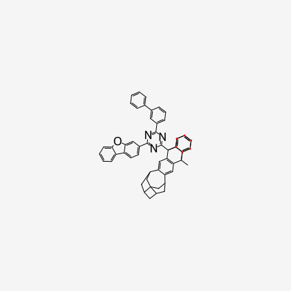 CC12c3ccccc3C(c3nc(-c4cccc(-c5ccccc5)c4)nc(-c4ccc5c(c4)oc4ccccc45)n3)(c3ccccc31)c1cc3c(cc12)C1CC2CC4CC3CC24C1